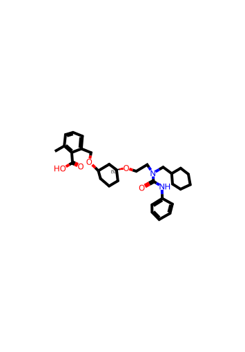 Cc1cccc(COC2CCC[C@H](OCCN(CC3CCCCC3)C(=O)Nc3ccccc3)C2)c1C(=O)O